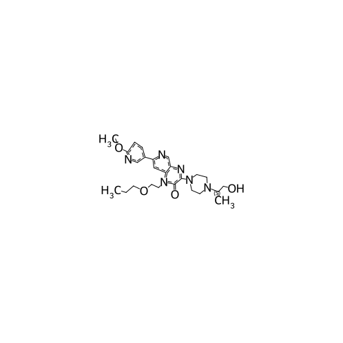 CCCOCCn1c(=O)c(N2CCN([C@@H](C)CO)CC2)nc2cnc(-c3ccc(OC)nc3)cc21